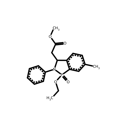 CCOP1(=O)c2cc(C)ccc2C(CC(=O)OC)N1c1ccccc1